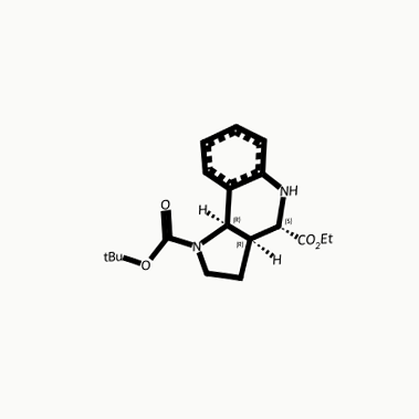 CCOC(=O)[C@H]1Nc2ccccc2[C@H]2[C@@H]1CCN2C(=O)OC(C)(C)C